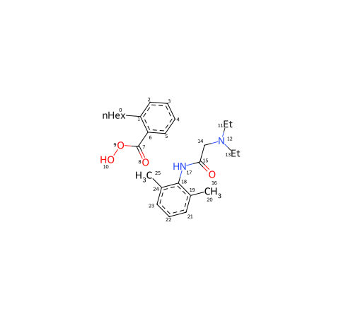 CCCCCCc1ccccc1C(=O)OO.CCN(CC)CC(=O)Nc1c(C)cccc1C